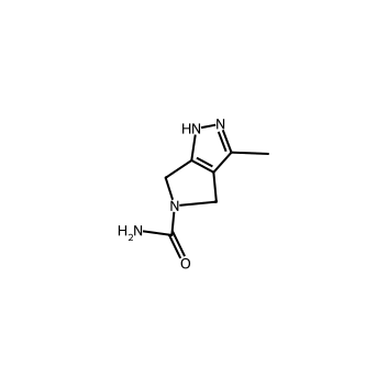 Cc1n[nH]c2c1CN(C(N)=O)C2